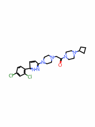 O=C(CN1CCN(c2ccc(-c3ccc(Cl)cc3Cl)nn2)CC1)N1CCN(C2CCC2)CC1